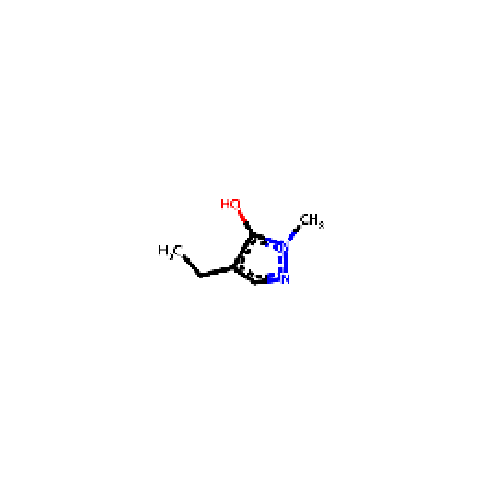 CCc1cnn(C)c1O